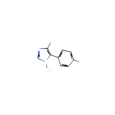 Cc1ncn(C)c1-c1ccc(Cl)cc1